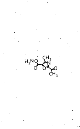 CC(=O)c1nc(C)c(C(=O)ON)o1